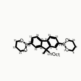 CCCCCCCCC1(C)c2cc(B3OCCCO3)ccc2-c2ccc(B3OCCCO3)cc21